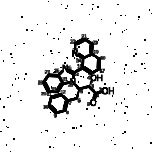 O=C(O)[C@@H](O)[C@@H](Cc1ccccc1)n1c(-c2cccc3cccnc23)nc2ccccc21